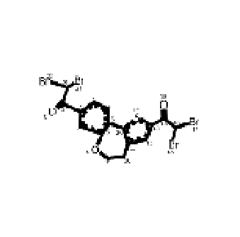 O=C(c1ccc2c(c1)OCCc1cc(C(=O)C(Br)Br)sc1-2)C(Br)Br